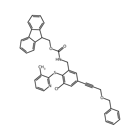 Cc1cccnc1Sc1c(Cl)cc(C#CCOCc2ccccc2)cc1CNC(=O)OCC1c2ccccc2-c2ccccc21